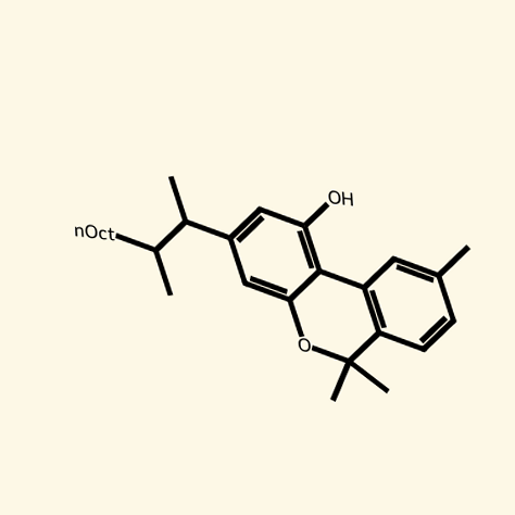 CCCCCCCCC(C)C(C)c1cc(O)c2c(c1)OC(C)(C)c1ccc(C)cc1-2